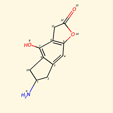 NC1Cc2cc3c(c(O)c2C1)CC(=O)O3